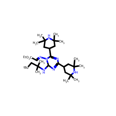 CCOC(=O)C=NN1C(C2CC(C)(C)NC(C)(C)C2)=NC(C2CC(C)(C)NC(C)(C)C2)=NC1NC(C)(C)CC(C)(C)C